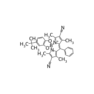 CC1=C(C#N)C(C)=[N+]2C1=C(c1ccccc1)c1c(C)c(C#N)c(C)n1[B-]21Oc2ccc(C(C)(C)C)cc2O1